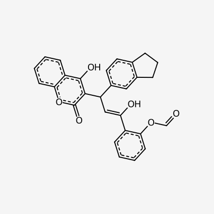 O=COc1ccccc1/C(O)=C/C(c1ccc2c(c1)CCC2)c1c(O)c2ccccc2oc1=O